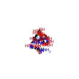 CN[C@H](CC(C)C)C(=O)N[C@H]1C(=O)N[C@@H](CC(N)=O)C(=O)N[C@H]2C(=O)N[C@H]3C(=O)N[C@H](C(=O)N[C@@H](C(=O)O)c4cc(O)cc(O)c4-c4cc3ccc4O)[C@H](O)c3ccc(c(Cl)c3)Oc3cc2cc(c3O[C@@H]2O[C@H](CO)[C@@H](O)[C@H](O)[C@H]2O[C@H]2C[C@](C)(N)C(O)[C@H](C)O2)Oc2ccc(cc2Cl)[C@H]1O.CO/N=C(\C(=O)N[C@@H]1C(=O)N2C(C(=O)O)=C(CSc3nc(=O)c(O)nn3C)CS[C@H]12)c1csc(N)n1